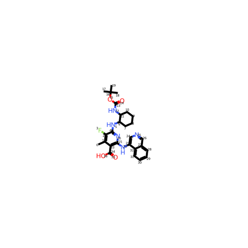 Cc1c(F)c(NC2CCCCC2NC(=O)OC(C)(C)C)nc(Nc2cncc3ccccc23)c1C(=O)O